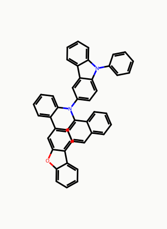 c1ccc(-n2c3ccccc3c3cc(N(c4ccccc4-c4ccc5c(c4)oc4ccccc45)c4cccc5ccccc45)ccc32)cc1